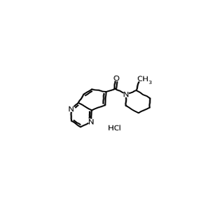 CC1CCCCN1C(=O)c1ccc2nccnc2c1.Cl